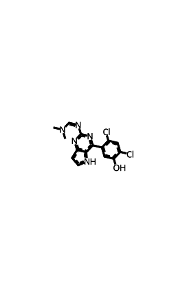 CN(C)/C=N\c1nc(-c2cc(O)c(Cl)cc2Cl)c2[nH]ccc2n1